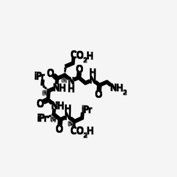 CC(C)C[C@H](NC(=O)[C@@H](NC(=O)[C@H](CC(C)C)NC(=O)[C@H](CCC(=O)O)NC(=O)CNC(=O)CN)C(C)C)C(=O)O